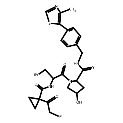 Cc1ncsc1-c1ccc(CNC(=O)C2CC(O)CN2C(=O)C(CC(C)C)NC(=O)C2(C(=O)CC(C)C)CC2)cc1